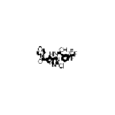 C[C@@H](Nc1nc(Cl)nn2cc(C(=O)N3CCOCC3)cc12)c1cccc(C(F)(F)F)c1